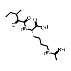 CCC(C)C(=O)C(=O)N[C@@H](CCCCNC(C)=N)C(=O)O